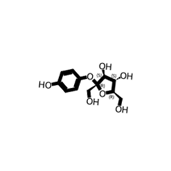 OC[C@H]1O[C@](CO)(Oc2ccc(O)cc2)[C@@H](O)[C@@H]1O